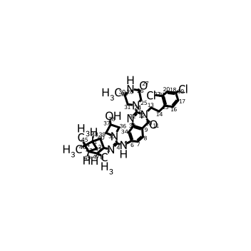 C[C@@H]1C(/N=C(/Nc2ccc3c(=O)n(CCc4ccc(Cl)cc4Cl)c(N4CC(=O)N[C@@H](C)C4)nc3c2)N2CC(O)C2)C[C@@H]2C[C@H]1C2(C)C